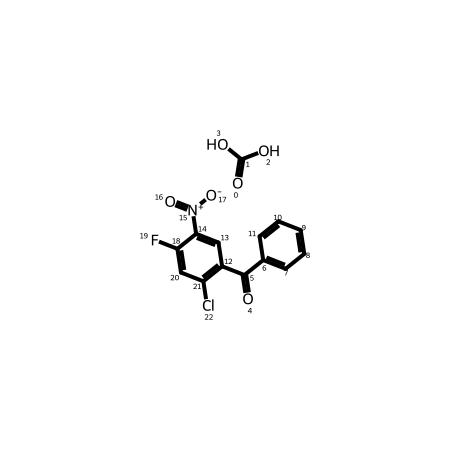 O=C(O)O.O=C(c1ccccc1)c1cc([N+](=O)[O-])c(F)cc1Cl